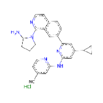 Cl.N#Cc1ccnc(Nc2cc(C3CC3)cc(-c3ccc4ccnc(N5CCCC5N)c4c3)n2)c1